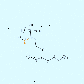 CCCCC(CC)CCCC(PC)C(C)(C)C